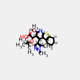 Cc1nc2sc3c(c2c(-c2cnn(C)c2C)c1C(OC(C)(C)C)C(=O)O)CCCC3